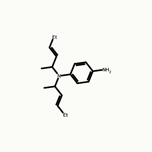 CCC=CC(C)N(c1ccc(N)cc1)C(C)C=CCC